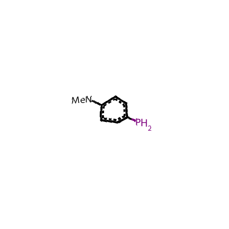 CNc1ccc(P)cc1